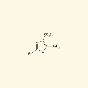 CCOC(=O)c1nc(C(C)C)oc1[AsH2]